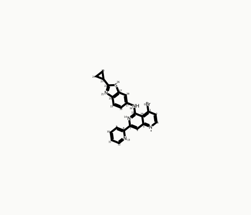 Brc1ccnc2cc(-c3ccccn3)nc(Nc3ccc4nc(C5CC5)sc4c3)c12